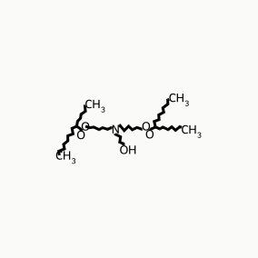 CCCCCCCCC(CCCCCC)C(=O)OCCCCCCN(CCCCO)CCCCCCOC(=O)C(CCCCCCC)CCCCCCCC